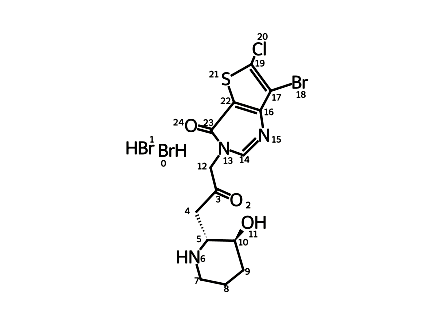 Br.Br.O=C(C[C@H]1NCCC[C@@H]1O)Cn1cnc2c(Br)c(Cl)sc2c1=O